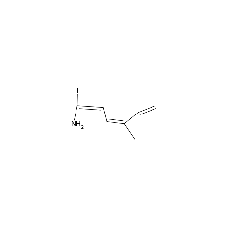 C=C/C(C)=C\C=C(/N)I